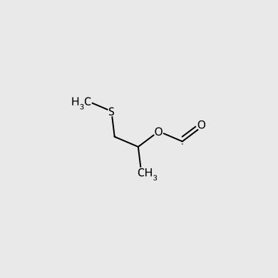 CSCC(C)O[C]=O